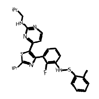 Cc1ccccc1SNc1cccc(-c2nc(C(C)C)sc2-c2ccnc(NCC(C)C)n2)c1F